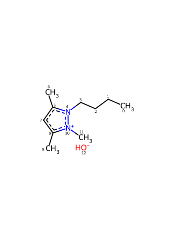 CCCCn1c(C)cc(C)[n+]1C.[OH-]